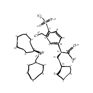 C1CCC(NC2CCCCC2)CC1.CS(=O)(=O)c1ccc([C@H](CC2CCCC2)C(=O)O)cc1Cl